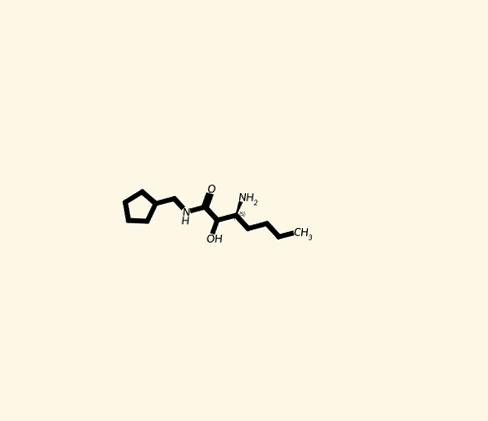 CCCC[C@H](N)C(O)C(=O)NCC1CCCC1